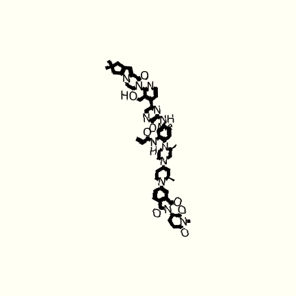 C=CC(=O)Nc1cc(Nc2nc(-c3ccnc(N4CCn5c(cc6c5CC(C)(C)C6)C4=O)c3CO)cnc2OC)ccc1N1CCN(C2CCN(c3ccc4c(c3)C(=O)N(C3CCC(=O)N(C)C3=O)C4=O)[C@H](C)C2)C[C@@H]1C